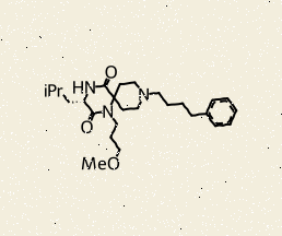 COCCCN1C(=O)[C@H](CC(C)C)NC(=O)C12CCN(CCCCc1ccccc1)CC2